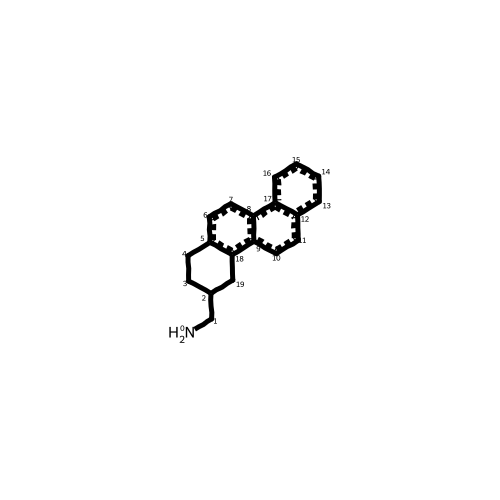 NCC1CCc2ccc3c(ccc4ccccc43)c2C1